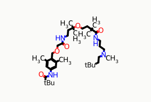 Cc1cc(NC(=O)C(C)(C)C)cc(C)c1COCC(=O)NCCC(C)(C)OCCC(C)(C)C(=O)NCCCN(C)CCC(C)(C)C